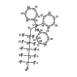 FC(F)(F)C(F)(F)C(F)(F)C(F)(F)C(F)(F)C[PH](c1ccccc1)(c1ccccc1)c1ccccc1